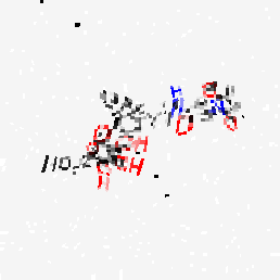 CC(=O)OCc1cc(CCCCNC(=O)CCN2C(=O)C=CC2=O)ccc1OC1O[C@H](C(=O)O)[C@@H](O)[C@H](O)[C@H]1O